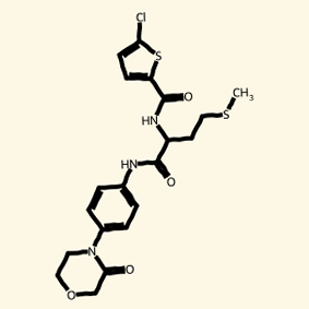 CSCCC(NC(=O)c1ccc(Cl)s1)C(=O)Nc1ccc(N2CCOCC2=O)cc1